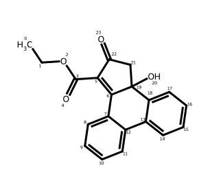 CCOC(=O)C1=C2c3ccccc3-c3ccccc3C2(O)CC1=O